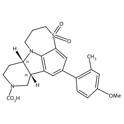 COc1ccc(-c2cc3c4c(c2)S(=O)(=O)CCCN4[C@H]2CCN(C(=O)O)C[C@@H]32)c(C)c1